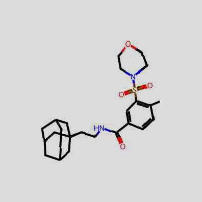 Cc1ccc(C(=O)NCCC23CC4CC(CC(C4)C2)C3)cc1S(=O)(=O)N1CCOCC1